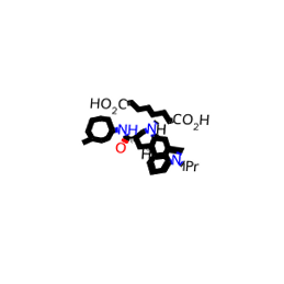 CC1CCCCC(NC(=O)[C@@H]2C[C@@H]3c4cccc5c4c(cn5C(C)C)C[C@H]3N(C)C2)CC1.O=C(O)CCCCCCC(=O)O